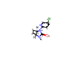 CN1C(=O)N(c2ccc(Br)cn2)[C@@H]2CC[C@@H]21